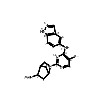 CNC1CC2CC1CN2c1ncc(F)c(Nc2ccc3[nH]ncc3c2)n1